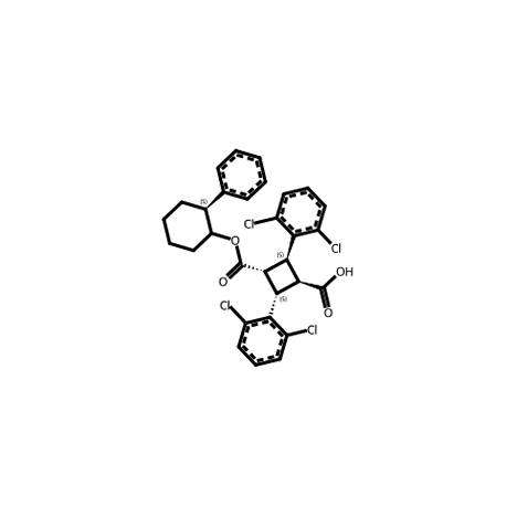 O=C(O)[C@H]1[C@H](c2c(Cl)cccc2Cl)[C@H](C(=O)OC2CCCC[C@H]2c2ccccc2)[C@H]1c1c(Cl)cccc1Cl